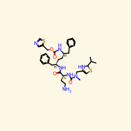 CC(C)C1NC(CN(C)C(=O)N[C@@H](CCN)C(=O)N[C@H](CC[C@H](Cc2ccccc2)NC(=O)OCc2cncs2)Cc2ccccc2)=CS1